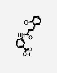 O=C(/C=C/c1ccccc1Cl)Nc1cccc(C(=O)O)c1